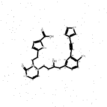 O=C(O)c1ccc(CCN2C(=O)SC=CN2CCC(O)Cc2ccc(F)c(C#Cc3ccsc3)c2)s1